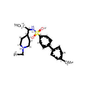 COc1ccc(-c2ccc(S(=O)(=O)NC(C(=O)O)C3CCN(CC(C)C)CC3)cc2)cc1